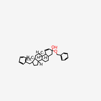 CC[C@@]1(Cc2ccccc2)CC[C@H]2[C@@H]3CCC4C[C@@](O)(OCc5ccccc5)C=C[C@]4(C)[C@H]3CC[C@@]21C